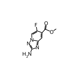 COC(=O)c1cc2nc(N)nn2cc1F